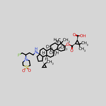 CC1([C@@H]2CC[C@]3(NCCC(CF)N4CCS(=O)(=O)CC4)CC[C@]4(C)[C@H](CC[C@@H]5[C@@]6(C)CC[C@H](OC(=O)[C@H]7[C@@H](C(=O)O)C7(C)C)C(C)(C)[C@@H]6CC[C@]54C)[C@@H]23)CC1